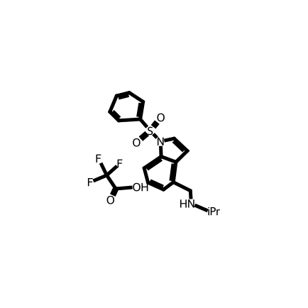 CC(C)NCc1cccc2c1ccn2S(=O)(=O)c1ccccc1.O=C(O)C(F)(F)F